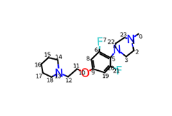 CN1CCN(c2c(F)cc(OCCN3CCCCC3)cc2F)CC1